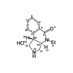 CCN1C(=O)c2ccccc2[C@H]2CNC[C@@H]21.Cl